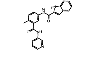 Cc1ccc(NC(=O)c2cc3ccccc3[nH]2)cc1C(=O)Nc1cccnc1